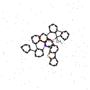 CC1(C)c2ccccc2-c2cccc(-c3cccc(N(c4cccc(-c5ccccc5)c4-c4ccccc4-c4ccccc4)c4cccc5c4sc4ccccc45)c3)c21